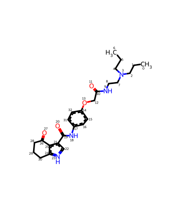 CCCN(CCC)CCNC(=O)COc1ccc(NC(=O)c2c[nH]c3c2C(=O)CCC3)cc1